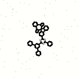 c1ccc(-c2cc(-c3ccccc3)cc(-c3nc(-c4ccccc4)nc(-c4ccc5c(c4)-c4ccccc4C54c5ccccc5-c5ccccc5-c5ccccc54)n3)c2)cc1